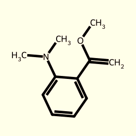 C=C(OC)c1ccccc1N(C)C